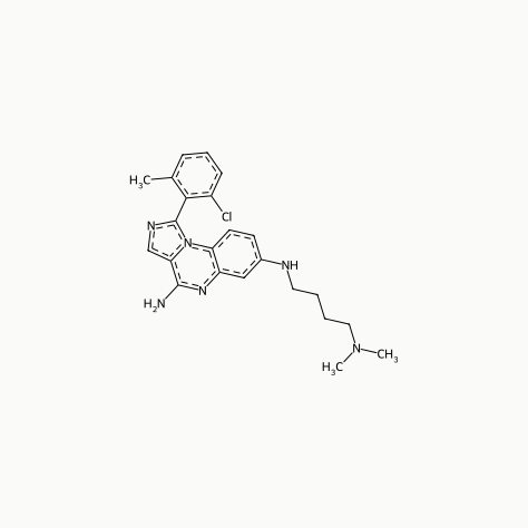 Cc1cccc(Cl)c1-c1ncc2c(N)nc3cc(NCCCCN(C)C)ccc3n12